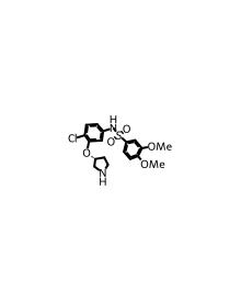 COc1ccc(S(=O)(=O)Nc2ccc(Cl)c(O[C@@H]3CCNC3)c2)cc1OC